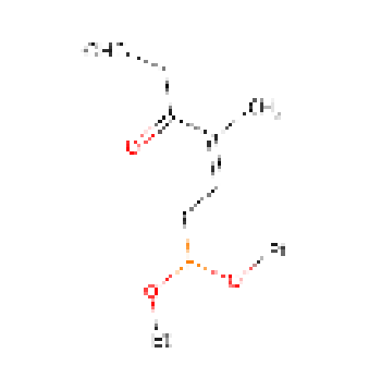 CCOP(CC=C(C)C(=O)C[C]=O)OCC